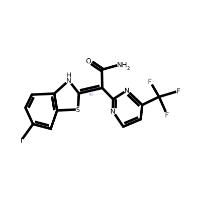 NC(=O)/C(=C1\Nc2ccc(I)cc2S1)c1nccc(C(F)(F)F)n1